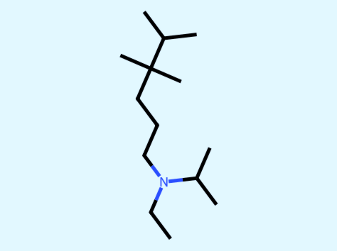 CCN(CCCC(C)(C)C(C)C)C(C)C